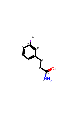 NC(=O)CCc1cccc(I)c1